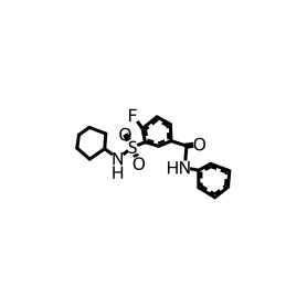 O=C(Nc1ccccc1)c1ccc(F)c(S(=O)(=O)NC2CCCCC2)c1